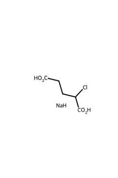 O=C(O)CCC(Cl)C(=O)O.[NaH]